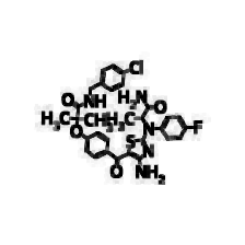 CC(C(N)=O)N(c1ccc(F)cc1)c1nc(N)c(C(=O)c2ccc(OC(C)(C)C(=O)NCc3ccc(Cl)cc3)cc2)s1